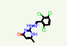 Cc1cc(=O)nc(N/N=C/c2c(Cl)ccc(Cl)c2Cl)[nH]1